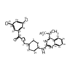 CN(C)c1nc(NC2CCC(COC(=O)c3cc(Cl)cc(Cl)c3)CC2)nc2ccccc12